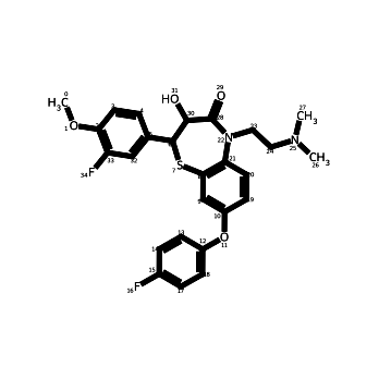 COc1ccc(C2Sc3cc(Oc4ccc(F)cc4)ccc3N(CCN(C)C)C(=O)C2O)cc1F